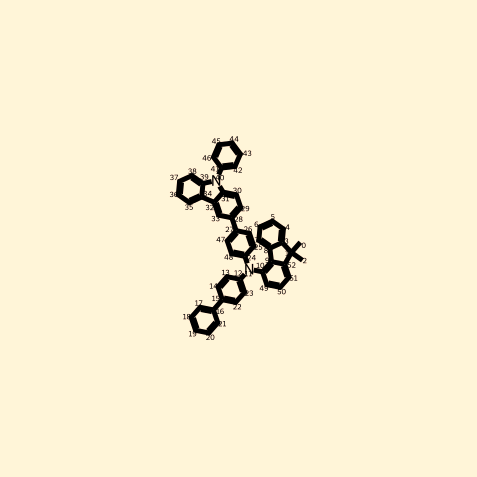 CC1(C)c2ccccc2-c2c(N(c3ccc(-c4ccccc4)cc3)c3ccc(-c4ccc5c(c4)c4ccccc4n5-c4ccccc4)cc3)cccc21